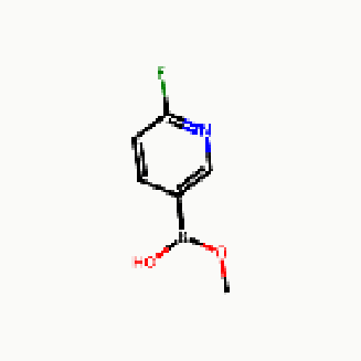 COB(O)c1ccc(F)nc1